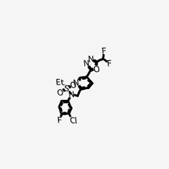 CCS(=O)(=O)N(Cc1ccc(-c2nnc(C(F)F)o2)cn1)c1ccc(F)c(Cl)c1